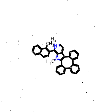 Cc1c(-c2c3c(cc[n+]2C)c2c(n3C)-c3ccccc3-c3ccccc3-c3ccccc3-2)ccc2ccccc12